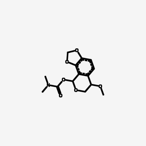 COC1COC(OC(=O)N(C)C)c2c1ccc1c2OCO1